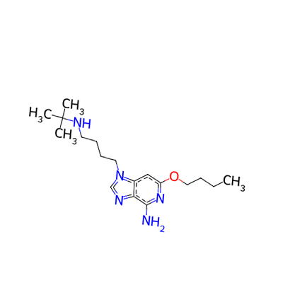 CCCCOc1cc2c(ncn2CCCCNC(C)(C)C)c(N)n1